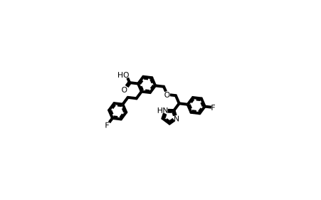 O=C(O)c1ccc(COCC(c2ccc(F)cc2)c2ncc[nH]2)cc1CCc1ccc(F)cc1